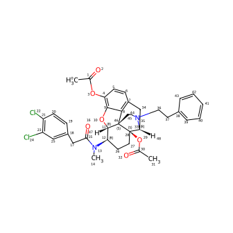 CC(=O)Oc1ccc2c3c1O[C@H]1[C@H](N(C)C(=O)Cc4ccc(Cl)c(Cl)c4)CC[C@@]4(OC(C)=O)[C@@H](C2)N(CCc2ccccc2)CC[C@]314